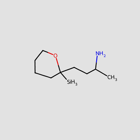 CC(N)CCC1([SiH3])CCCCO1